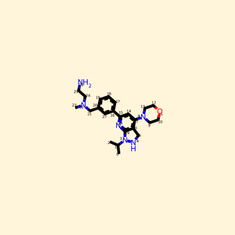 CC(C)N1NCc2c(N3CCOCC3)cc(-c3cccc(CN(C)CCN)c3)nc21